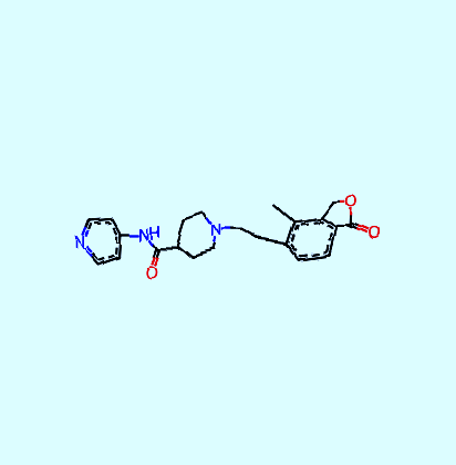 Cc1c(CCN2CCC(C(=O)Nc3ccncc3)CC2)ccc2c1COC2=O